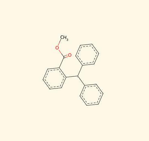 COC(=O)c1ccccc1[C](c1ccccc1)c1ccccc1